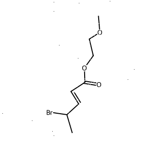 COCCOC(=O)C=CC(C)Br